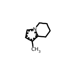 Cc1ccn2c1CCCC2